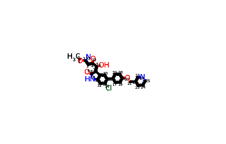 COc1cc(/C(O)=C2\C(=O)Nc3cc(Cl)c(-c4ccc(OCc5cccnc5)cc4)cc32)on1